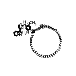 COc1cc(N2CC3(CCCCCCCCCCCCCCCCCCCCCCCCCCCCCCCCCCCCCN(C)CCC3)C2)c(N)cc1Nc1nccc(-c2cnn3c2CCCC3)n1